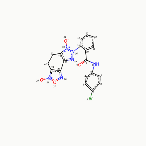 O=C(Nc1ccc(Br)cc1)c1ccccc1-n1nc2c([n+]1[O-])CCc1c-2no[n+]1[O-]